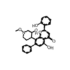 CON1CCC(c2c(-c3ccccc3)cc(O)c3c(=O)cc(-c4ccccc4O)oc23)C(O)C1